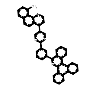 Cc1cccc2ccc3c(-c4cnc(-c5cccc(-c6nc7c8ccccc8c8ccccc8c7c7ccccc67)c5)nc4)ccnc3c12